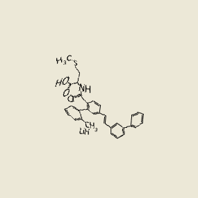 CSCCC(NC(=O)c1ccc(C=Cc2cccc(-c3ccccc3)c2)cc1-c1ccccc1C)C(=O)O.[LiH]